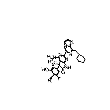 CC1(c2cc(O)c(C#N)c(F)c2)C(=O)Nc2nc(-c3cn4ccnc4c(CC4CCCCC4)n3)nc(N)c21